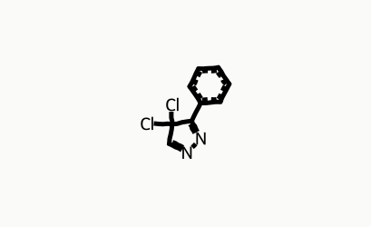 ClC1(Cl)C=NN=C1c1ccccc1